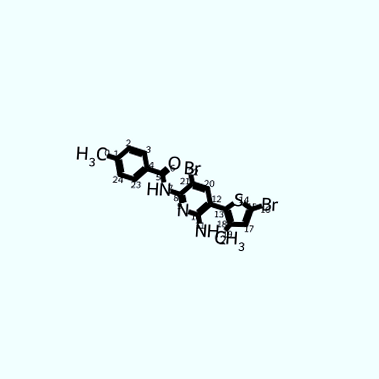 Cc1ccc(C(=O)Nc2nc(N)c(-c3sc(Br)cc3C)cc2Br)cc1